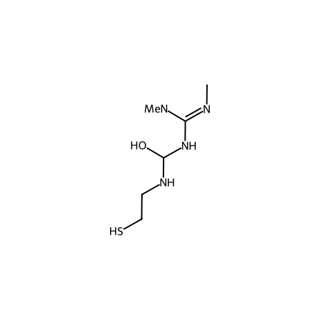 C/N=C(\NC)NC(O)NCCS